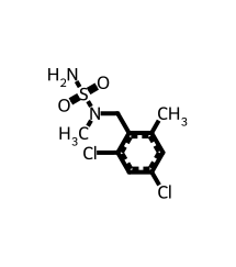 Cc1cc(Cl)cc(Cl)c1CN(C)S(N)(=O)=O